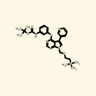 CC(C)(C)OC(=O)Nc1cccc(Oc2ncnc3c2c(-c2cccnc2)cn3COCC[Si](C)(C)C)c1